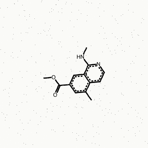 CNc1nccc2c(C)cc(C(=O)OC)cc12